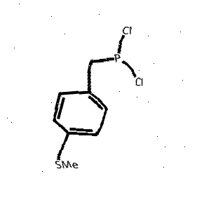 CSc1ccc(CP(Cl)Cl)cc1